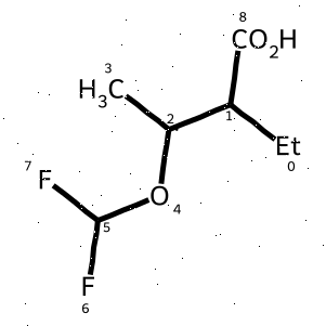 CCC([C](C)OC(F)F)C(=O)O